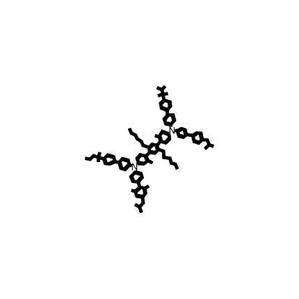 CCCCCCc1cc(-c2ccc(N(c3ccc(-c4ccc(C(C)(C)CCC)cc4)cc3)c3ccc(-c4c(C)cc(CC(C)C)cc4C)cc3)cc2C)c(CCCCCC)cc1-c1ccc(N(c2ccc(-c3ccc(CC(C)C)cc3)cc2)c2ccc(-c3ccc(C(C)(C)C(C)C)cc3)cc2)cc1C